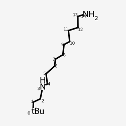 CC(C)(C)CCNCCCCCCCCCCN